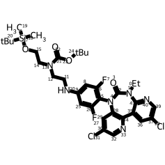 CCN1C(=O)N(c2c(F)cc(NCCN(CCO[Si](C)(C)C(C)(C)C)C(=O)OC(C)(C)C)cc2F)c2cc(Cl)cnc2-c2cc(Cl)cnc21